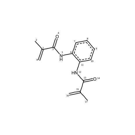 C=C(C)C(=O)Nc1ccccc1NC(=O)C(=C)C